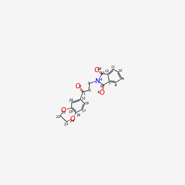 O=C(CCN1C(=O)c2ccccc2C1=O)c1ccc2c(c1)OCCO2